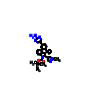 Cn1cc(-c2c(C3(c4ccc(-c5cnc(N)nc5)cc4)CCC3)c3ccccc3n2C(=O)OC(C)(C)C)cn1